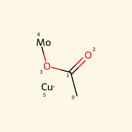 CC(=O)[O][Mo].[Cu]